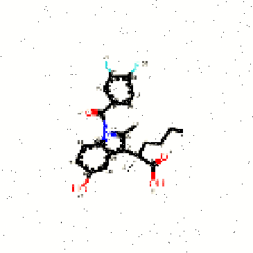 CCCC[C@@](C)(C(=O)O)c1c(C)n(C(=O)c2ccc(F)c(F)c2)c2ccc(O)cc12